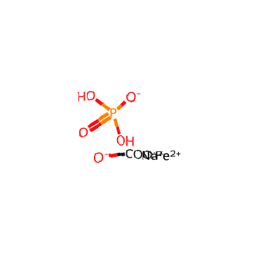 O=C([O-])[O-].O=P([O-])(O)O.[Fe+2].[Na+]